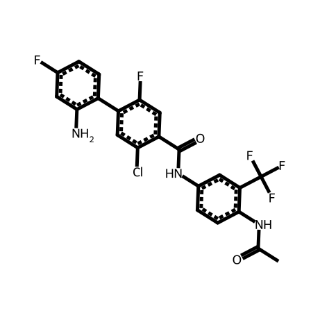 CC(=O)Nc1ccc(NC(=O)c2cc(F)c(-c3ccc(F)cc3N)cc2Cl)cc1C(F)(F)F